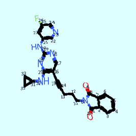 O=C1c2ccccc2C(=O)N1CCCC#Cc1cnc(Nc2cncc(F)c2)nc1NC1CC1